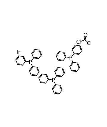 O=C(Cl)Cl.[Ir].c1ccc(P(c2ccccc2)c2ccccc2)cc1.c1ccc(P(c2ccccc2)c2ccccc2)cc1.c1ccc(P(c2ccccc2)c2ccccc2)cc1